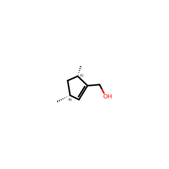 C[C@H]1C=C(CO)[C@@H](C)C1